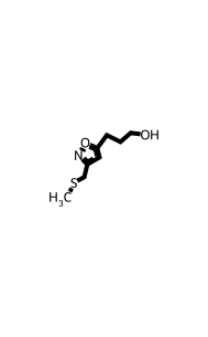 CSCc1cc(CCCO)on1